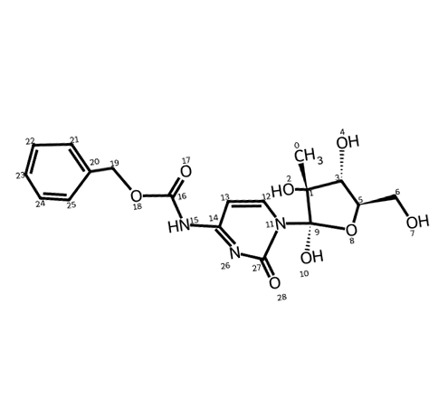 C[C@@]1(O)[C@H](O)[C@@H](CO)O[C@@]1(O)n1ccc(NC(=O)OCc2ccccc2)nc1=O